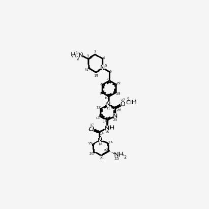 Cl.NC1CCN(Cc2ccc(-n3ccc(NC(=O)N4CCC[C@@H](N)C4)nc3=O)cc2)CC1